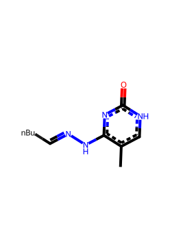 CCCCC=NNc1nc(=O)[nH]cc1C